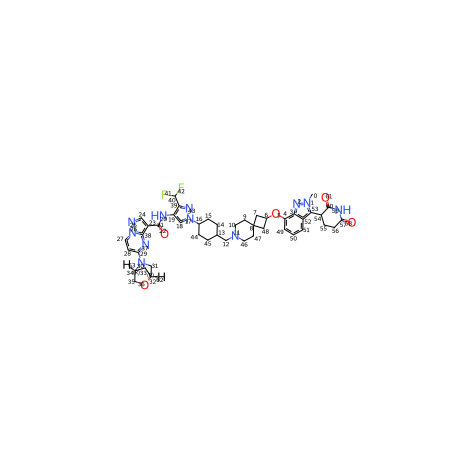 Cn1nc2c(OC3CC4(CCN(CC5CCC(n6cc(NC(=O)c7cnn8ccc(N9C[C@H]%10C[C@@H]9CO%10)nc78)c(C(F)F)n6)CC5)CC4)C3)cccc2c1C1CCC(=O)NC1=O